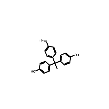 CCCCCCc1ccc(C(C)(c2ccc(O)cc2)c2ccc(O)cc2)cc1